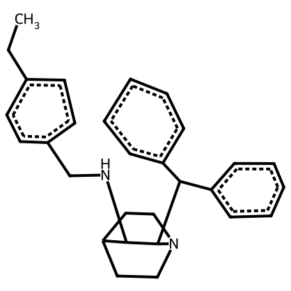 CCc1ccc(CNC2C3CCN(CC3)C2C(c2ccccc2)c2ccccc2)cc1